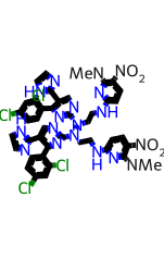 CNc1nc(NCCN(c2ncc(-c3ncc[nH]3)c(-c3ccc(Cl)cc3Cl)n2)N(CCNc2ccc([N+](=O)[O-])c(NC)n2)c2ncc(-c3ncc[nH]3)c(-c3ccc(Cl)cc3Cl)n2)ccc1[N+](=O)[O-]